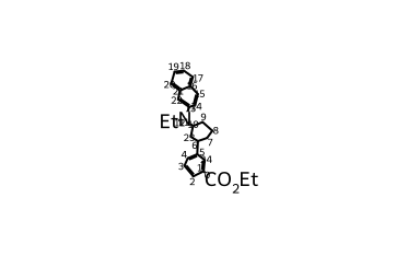 CCOC(=O)c1cccc(C2CCCC(N(CC)c3ccc4ccccc4c3)C2)c1